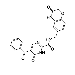 O=C1COc2ccc(CNC(=O)c3ncc(C(=O)c4ccccc4)c(=O)[nH]3)cc2N1